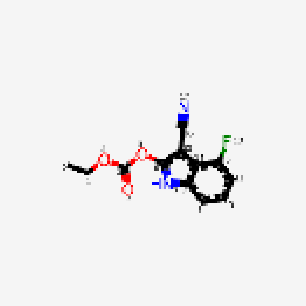 CCOC(=O)Oc1[nH]c2cccc(F)c2c1C#N